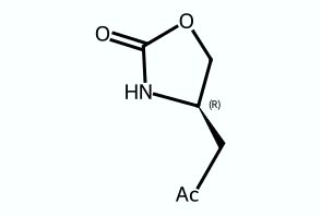 CC(=O)C[C@@H]1COC(=O)N1